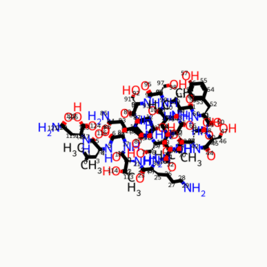 CC(C)C[C@H](NC(=O)[C@H](Cc1ccc(O)cc1)NC(=O)[C@@H](NC(=O)[C@H](CCCCN)NC(=O)CNC(=O)[C@H](CC(=O)O)NC(=O)[C@H](CO)NC(=O)[C@H](Cc1ccc(O)cc1)NC(=O)[C@@H](NC(=O)[C@H](CC(C)C)NC(=O)[C@H](CO)NC(=O)[C@H](CCC(N)=O)NC(=O)[C@H](CO)NC(=O)[C@H](CO)NC(=O)[C@@H](N)CCCCN)C(C)C)[C@@H](C)O)C(=O)N[C@@H](CC(N)=O)C(=O)O